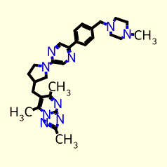 Cc1nc2nc(C)c(CC3CCN(c4cnc(-c5ccc(CN6CCN(C)CC6)cc5)cn4)C3)c(C)n2n1